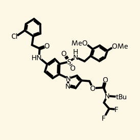 COc1ccc(CNS(=O)(=O)c2cc(NC(=O)Cc3ccccc3Cl)ccc2-n2cc(COC(=O)N(CC(F)F)C(C)(C)C)cn2)c(OC)c1